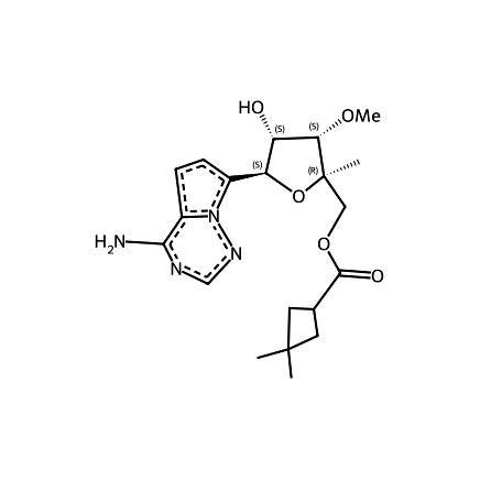 CO[C@H]1[C@@H](O)[C@H](c2ccc3c(N)ncnn23)O[C@]1(C)COC(=O)C1CC(C)(C)C1